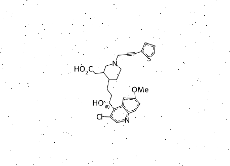 COc1ccc2ncc(Cl)c([C@H](O)CCC3CCN(CC#Cc4cccs4)CC3CC(=O)O)c2c1